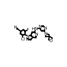 N#Cc1cc(F)c(-n2ncc3cnc(Nc4cc(N5CC6(COC6)C5)ncn4)cc32)c(Cl)c1